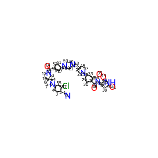 N#Cc1ccc(N2CCC3(CCN(C(=O)c4ccc(N5CCN(CC6CCN(c7ccc8c(c7)C(=O)N(C7CCC(=O)NC7=O)C8=O)CC6)CC5)cc4)C3)C2)cc1Cl